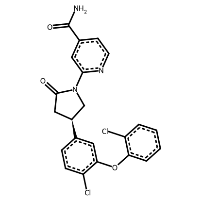 NC(=O)c1ccnc(N2C[C@@H](c3ccc(Cl)c(Oc4ccccc4Cl)c3)CC2=O)c1